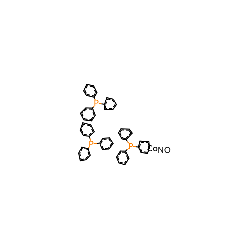 O=[N][Co].c1ccc(P(c2ccccc2)c2ccccc2)cc1.c1ccc(P(c2ccccc2)c2ccccc2)cc1.c1ccc(P(c2ccccc2)c2ccccc2)cc1